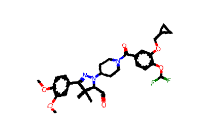 COc1ccc(C2=NN(C3CCN(C(=O)c4ccc(OC(F)F)c(OCC5CC5)c4)CC3)C(C=O)C2(C)C)cc1OC